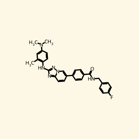 Cc1cc(N(C)C)ccc1Nc1nc2ccc(-c3ccc(C(=O)NCc4ccc(F)cc4)cc3)cn2n1